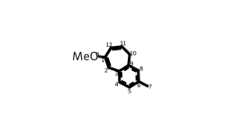 COC1=Cc2ccc(C)cc2CC=C1